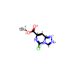 CC(C)(C)OC(=O)c1cc2nncn2c(Cl)n1